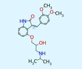 COc1ccc(/C=C2\C(=O)Nc3cccc(OCC(O)CNC(C)C)c32)cc1OC